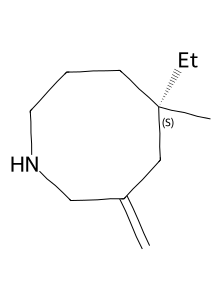 C=C1CNCCC[C@](C)(CC)C1